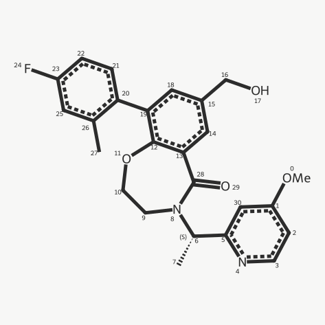 COc1ccnc([C@H](C)N2CCOc3c(cc(CO)cc3-c3ccc(F)cc3C)C2=O)c1